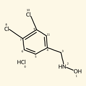 Cl.ONCc1ccc(Cl)c(Cl)c1